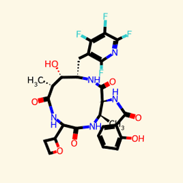 C[C@H]1NC(=O)C(C2CCO2)NC(=O)[C@H](C)[C@H](O)[C@H](Cc2c(F)nc(F)c(F)c2F)NC(=O)[C@H]1NC(=O)c1ccccc1O